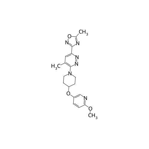 COc1ccc(OC2CCN(c3nnc(-c4noc(C)n4)cc3C)CC2)cn1